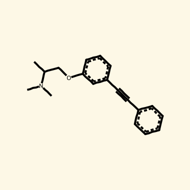 CC(COc1cccc(C#Cc2ccccc2)c1)N(C)C